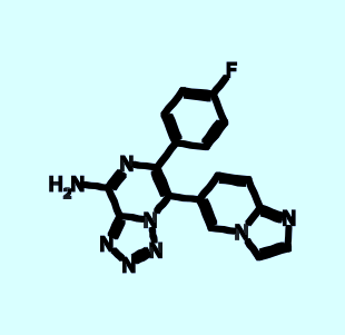 Nc1nc(-c2ccc(F)cc2)c(-c2ccc3nccn3c2)n2nnnc12